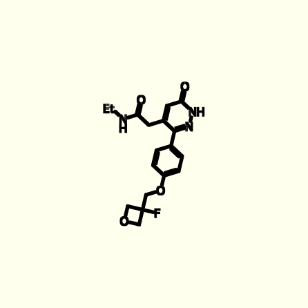 CCNC(=O)Cc1cc(=O)[nH]nc1-c1ccc(OCC2(F)COC2)cc1